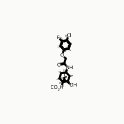 O=C(COc1ccc(Cl)c(F)c1)NC12CCC(C(=O)O)(CC1)C(O)C2